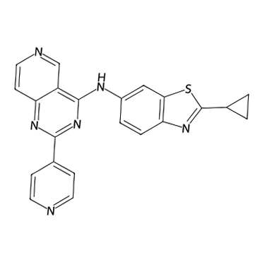 c1cc(-c2nc(Nc3ccc4nc(C5CC5)sc4c3)c3cnccc3n2)ccn1